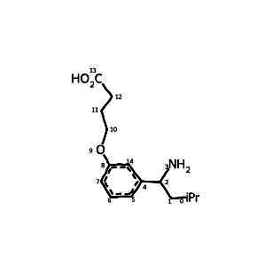 CC(C)CC(N)c1cccc(OCCCC(=O)O)c1